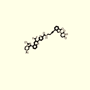 CCc1nc(-c2cccc3nc(-c4ccc(C(=O)NCCC#Cc5cccc6c5CN(C5CCC(=O)NC5=O)C6=O)nc4)c(C(F)F)cc23)c2n1CCN(C(C)=O)C2